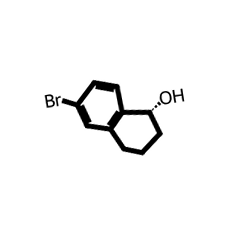 O[C@@H]1CCCc2cc(Br)ccc21